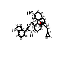 O=C(N[C@@H]1CC[C@@]2(O)[C@H]3CC4=C5C(=C(O)CC4)O[C@@H]1[C@]52CCN3CC1CC1)c1cccc2[nH]ccc12